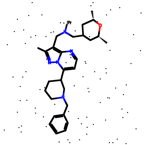 Cc1nn2c(C3CCCN(Cc4ccccc4)C3)ccnc2c1CN(CC1C[C@@H](C)O[C@@H](C)C1)C(C)C